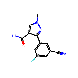 Cn1cc(C(N)=O)c(-c2cc(F)cc(C#N)c2)n1